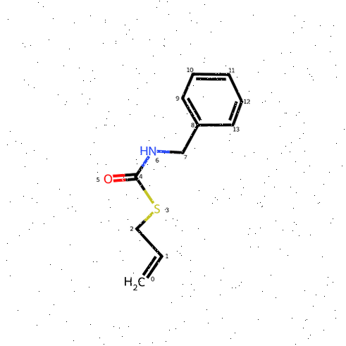 C=CCSC(=O)NCc1ccccc1